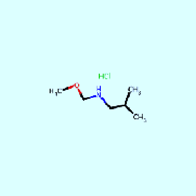 COCNCC(C)C.Cl